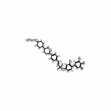 CCCCCC1CCC(C2CCC(c3ccc(/C=C/C(F)(F)Oc4ccc(-c5cc(F)c(F)c(F)c5)c(F)c4)cc3)OC2)CC1